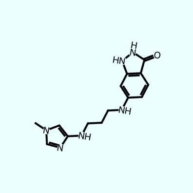 Cn1cnc(NCCCNc2ccc3c(=O)[nH][nH]c3c2)c1